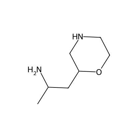 CC(N)CC1CNCCO1